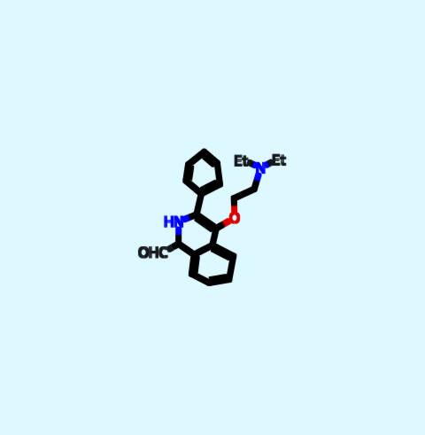 CCN(CC)CCOC1=C(c2ccccc2)NC(C=O)c2ccccc21